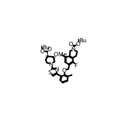 CO[C@H]1CN(c2nc(-c3cccc(C)c3OCc3cc(C)c4c(c3F)CCN(C(=O)OC(C)(C)C)C4)cs2)CC[C@H]1C(=O)OC(C)(C)C